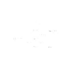 C=CCc1ccc(CC=C)c(OC(=O)C=C)c1OC(=O)C=C